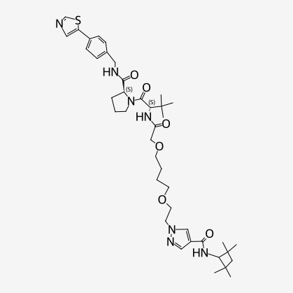 CC1(C)CC(C)(C)C1NC(=O)c1cnn(CCOCCCCOCC(=O)N[C@H](C(=O)N2CCC[C@H]2C(=O)NCc2ccc(-c3cncs3)cc2)C(C)(C)C)c1